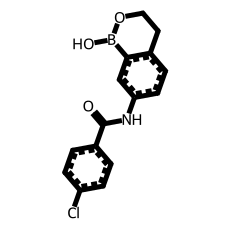 O=C(Nc1ccc2c(c1)B(O)OCC2)c1ccc(Cl)cc1